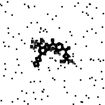 CC1(O)CC(C(=O)N2CCN(C(=O)c3cc4nc(N5CC6(CCC6)C5)cc(C(C)(C)C)c4o3)C(C)(C)C2)C1